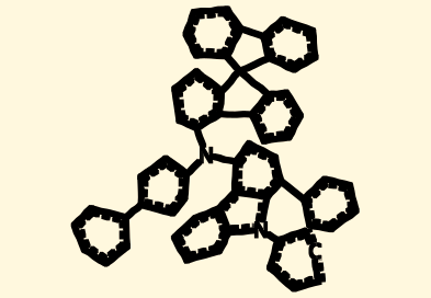 c1ccc(-c2ccc(N(c3cccc4c3-c3ccccc3C43c4ccccc4-c4ccccc43)c3ccc(-c4ccccc4)c4c3c3ccccc3n4-c3ccccc3)cc2)cc1